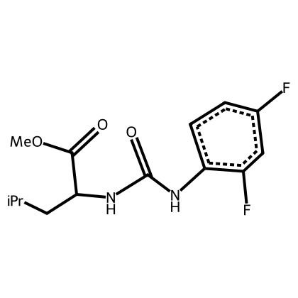 COC(=O)C(CC(C)C)NC(=O)Nc1ccc(F)cc1F